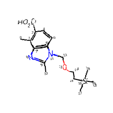 Cc1c(C(=O)O)ccc2c1nc(C)n2COCC[Si](C)(C)C